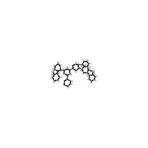 c1ccc(-c2nc(-c3ccc4c(c3)-c3cc5c6ccccc6oc5c5cccc-4c35)cc(-c3cccc4oc5ccccc5c34)n2)cc1